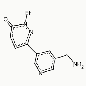 [CH2]Cn1nc(-c2cncc(CN)c2)ccc1=O